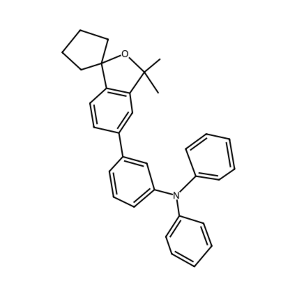 CC1(C)OC2(CCCC2)c2ccc(-c3cccc(N(c4ccccc4)c4ccccc4)c3)cc21